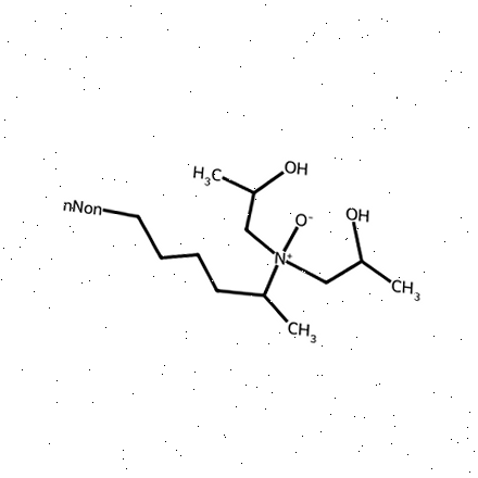 CCCCCCCCCCCCCC(C)[N+]([O-])(CC(C)O)CC(C)O